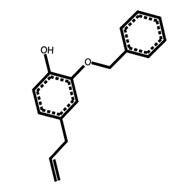 C=CCc1ccc(O)c(OCc2ccccc2)c1